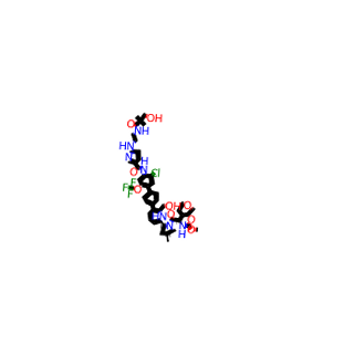 COC(=O)N[C@H](C(=O)N1C[C@@H](C)C[C@H]1C1=CC=CC(c2ccc(-c3cc(Cl)c(NC(=O)c4ccc(NCCNC(=O)C(C)(C)CO)nc4)cc3OC(F)(F)F)cc2)=C(CO)N1)C1CCOCC1